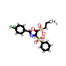 CCCS(=O)(=O)c1oc(-c2ccc(F)cc2)nc1S(=O)(=O)c1ccccc1